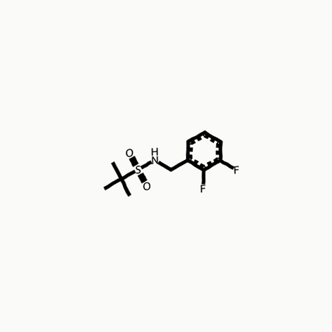 CC(C)(C)S(=O)(=O)NCc1cccc(F)c1F